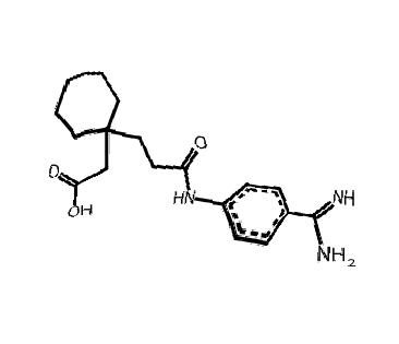 N=C(N)c1ccc(NC(=O)CCC2(CC(=O)O)CCCCC2)cc1